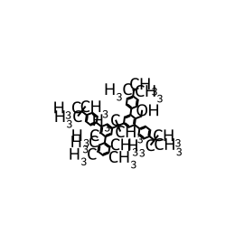 Cc1cc(C)c(C)c(-c2cc(C(C)(C)c3cc(-c4ccc(C(C)(C)C)cc4)c(CO)c(-c4ccc(C(C)(C)C)cc4)c3)cc(-c3ccc(C(C)(C)C)cc3)c2C)c1C